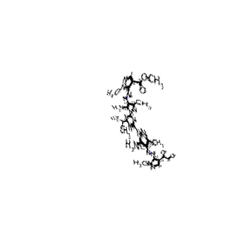 COC(=O)c1cnn(C)c1/N=N/c1c(C)nn(-c2nc(C(C)C)nc(-n3nc(C)c(/N=N/c4c(C(=O)C=O)cnn4C)c3N)n2)c1N